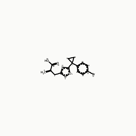 C=C(Cc1noc(C2(c3ccc(Br)cc3)CC2)n1)C(=O)O